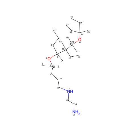 CCCC(C)(O[Si](C)(C)CCCNCCN)C(C)(CC)[Si](C)(C)OC(C)(CC)CC